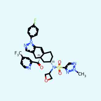 Cn1ncc(S(=O)(=O)N(C2COC2)[C@H]2CCC3=Cc4c(cnn4-c4ccc(F)cc4)C[C@]3(C(=O)c3cc(C(F)(F)F)ccn3)C2)n1